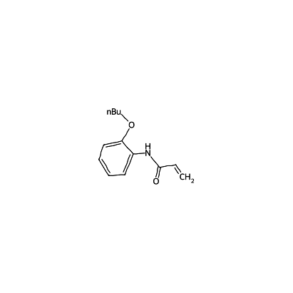 C=CC(=O)Nc1ccccc1OCCCC